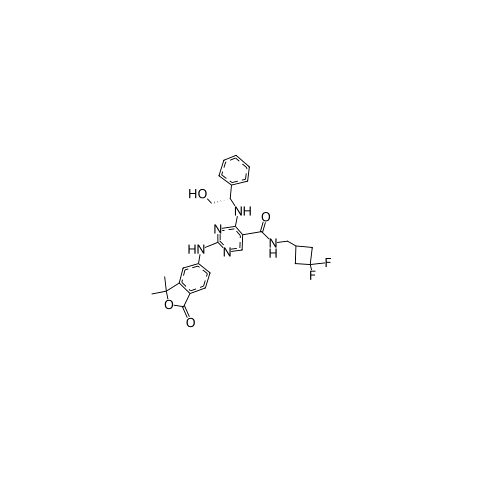 CC1(C)OC(=O)c2ccc(Nc3ncc(C(=O)NCC4CC(F)(F)C4)c(N[C@H](CO)c4ccccc4)n3)cc21